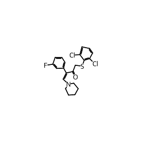 O=C(CSc1c(Cl)cccc1Cl)/C(=C\N1CCCCC1)c1cccc(F)c1